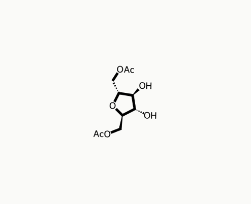 CC(=O)OC[C@H]1O[C@H](COC(C)=O)[C@@H](O)[C@@H]1O